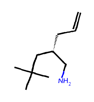 C=CC[C@H](CN)CC(C)(C)C